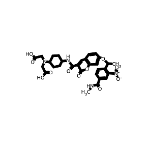 CNC(=O)c1ccc(C(C)Oc2ccc3cc(C(=O)NC4CCC(N(CC(=O)O)CC(=O)O)CC4)c(=O)oc3c2)c([N+](=O)[O-])c1